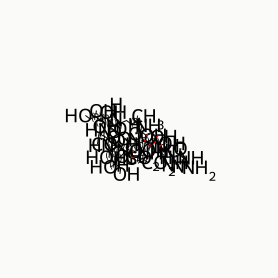 C[C@H](CCC(=O)N[C@H](C(=O)N[C@@H](CC(=O)O)C(=O)N[C@H](C(=O)N[C@@H](CC(=O)O)C(=O)N[C@H](C(=O)N[C@H](CS)C(=O)O)[C@@H](O)[C@H](O)[C@H](O)CO)[C@@H](O)[C@H](O)[C@H](O)CO)[C@@H](O)[C@H](O)[C@H](O)CO)NC(=O)c1ccc(NCc2cnc3nc(N)[nH]c(=O)c3n2)cc1